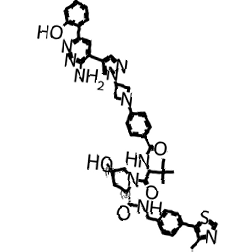 Cc1ncsc1-c1ccc(CNC(=O)[C@@H]2C[C@@H](O)CN2C(=O)C(NC(=O)c2ccc(N3CC(n4cc(-c5cc(-c6ccccc6O)nnc5N)cn4)C3)cc2)C(C)(C)C)cc1